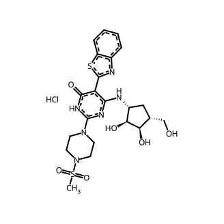 CS(=O)(=O)N1CCN(c2nc(N[C@@H]3C[C@H](CO)[C@@H](O)[C@H]3O)c(-c3nc4ccccc4s3)c(=O)[nH]2)CC1.Cl